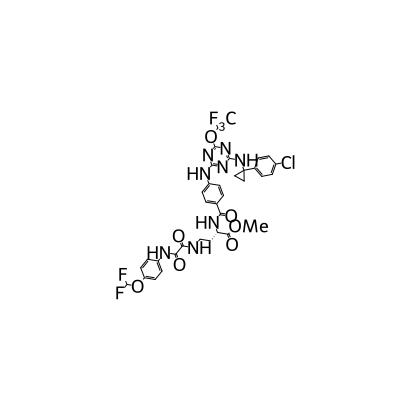 COC(=O)[C@H](CCNC(=O)C(=O)Nc1ccc(OC(F)F)cc1)NC(=O)c1ccc(Nc2nc(NC3(c4ccc(Cl)cc4)CC3)nc(OCC(F)(F)F)n2)cc1